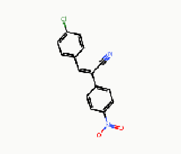 N#C/C(=C\c1ccc(Cl)cc1)c1ccc([N+](=O)[O-])cc1